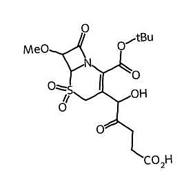 COC1C(=O)N2C(C(=O)OC(C)(C)C)=C(C(O)C(=O)CCC(=O)O)CS(=O)(=O)C12